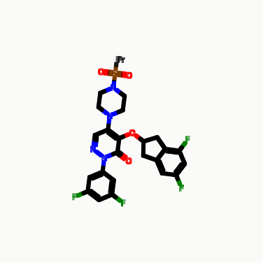 CC(C)S(=O)(=O)N1CCN(c2cnn(-c3cc(F)cc(F)c3)c(=O)c2OC2Cc3cc(F)cc(F)c3C2)CC1